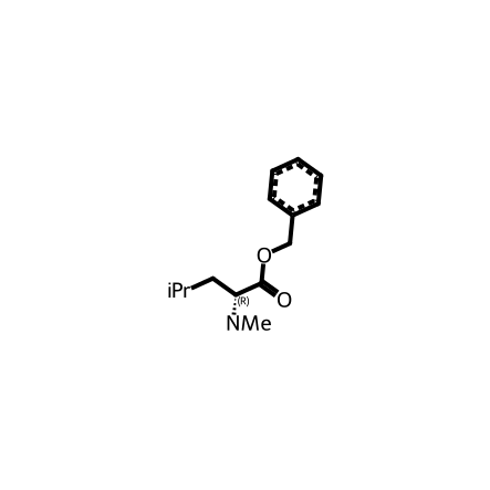 CN[C@H](CC(C)C)C(=O)OCc1ccccc1